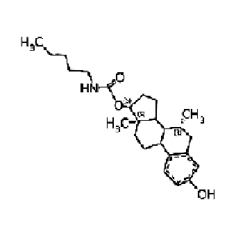 CCCCCNC(=O)O[C@H]1CCC2C3C(CC[C@@]21C)c1ccc(O)cc1C[C@H]3C